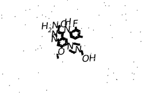 CCOc1cc2nnc(C(N)=O)c(Nc3ccc(C)cc3F)c2cc1N1CCN(CCO)CC1